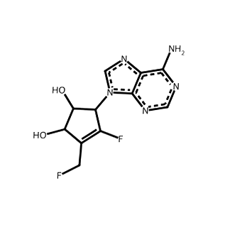 Nc1ncnc2c1ncn2C1C(F)=C(CF)C(O)C1O